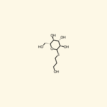 OCCCSC1O[C@H](CO)[C@@H](O)[C@H](O)[C@H]1O